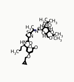 CCC[C@@H](NC(=O)C1CSC(/C(C)=N/O[C@H]2O[C@@H]3COC(C)(C)O[C@H]3[C@@H]3OC(C)(C)O[C@H]23)=N1)c1cc(OCC2CC2)cc(=O)o1